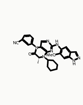 COc1cc2[nH]ncc2cc1Nc1ncc2c(n1)N(C1CCCCC1)[C@H](C)C(=O)N2c1cccc(C#N)c1